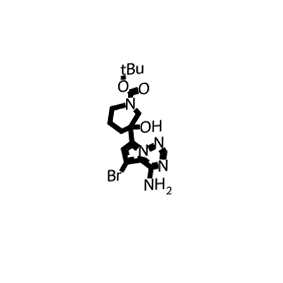 CC(C)(C)OC(=O)N1CCCC(O)(c2cc(Br)c3c(N)ncnn23)C1